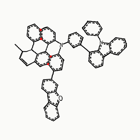 CC1C=Cc2cccc(-c3ccccc3N(c3ccc(-c4ccc5c(c4)oc4ccccc45)cc3)c3cccc(-c4cccc5c6ccccc6n(-c6ccccc6)c45)c3)c2C1c1ccccc1